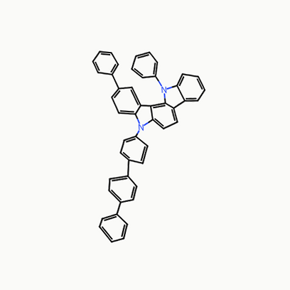 c1ccc(-c2ccc(-c3ccc(-n4c5ccc(-c6ccccc6)cc5c5c4ccc4c6ccccc6n(-c6ccccc6)c45)cc3)cc2)cc1